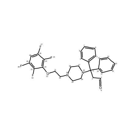 O=CCC(c1ccccc1)(c1ccccc1)N1CCN(CCOc2c(F)c(F)cc(F)c2F)CC1